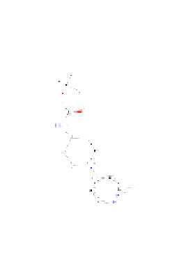 CC(C)(C)OC(=O)NC1CCN(c2ccnc(Cl)c2)CC1